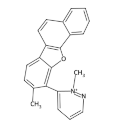 Cc1ccc2c(oc3c4ccccc4ccc23)c1-c1cccn[n+]1C